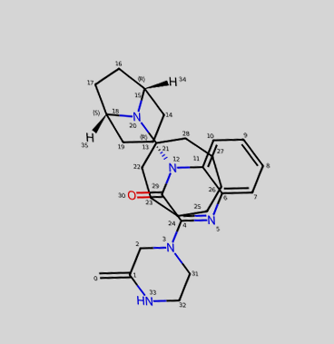 C=C1CN(c2nc3ccccc3n([C@H]3C[C@H]4CC[C@@H](C3)N4C3CCCCCCC3)c2=O)CCN1